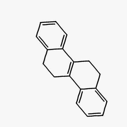 c1ccc2c(c1)CCC1=C2CCc2ccccc21